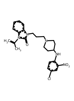 C=C(C)n1c(=O)n(CCCN2CCC(Nc3ccc(Cl)cc3[N+](=O)[O-])CC2)c2ccccc21